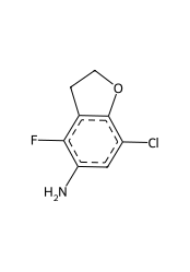 Nc1cc(Cl)c2c(c1F)CCO2